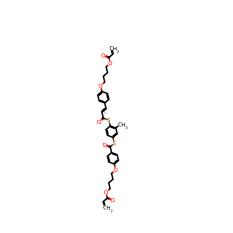 C=CC(=O)OCCCCOc1ccc(/C=C/C(=O)Sc2ccc(SC(=O)c3ccc(OCCCCOC(=O)C=C)cc3)cc2C)cc1